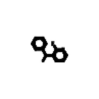 C[C](c1ccccc1)c1cccnc1F